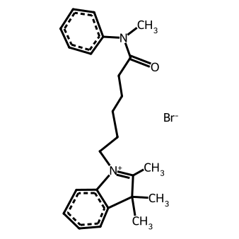 CC1=[N+](CCCCCC(=O)N(C)c2ccccc2)c2ccccc2C1(C)C.[Br-]